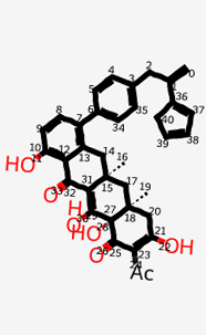 C=C(Cc1ccc(-c2ccc(O)c3c2C[C@@]2(C)C[C@@]4(C)CC(O)=C(C(C)=O)C(=O)[C@@]4(O)C(O)=C2C3=O)cc1)C1=CC=CC1